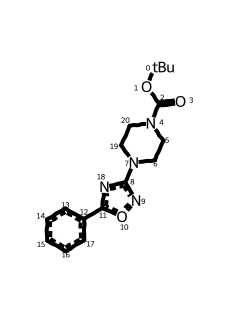 CC(C)(C)OC(=O)N1CCN(c2noc(-c3ccccc3)n2)CC1